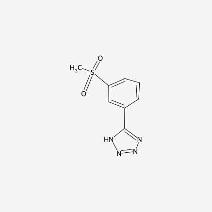 CS(=O)(=O)c1cccc(-c2nnn[nH]2)c1